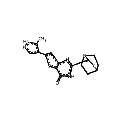 Cc1[nH]ncc1-c1cc2nc(C3CC4CCN3CC4)[nH]c(=O)c2s1